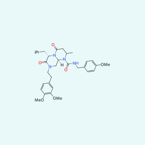 COc1ccc(CNC(=O)N2C(C)CC(=O)N3[C@@H]2CN(CCc2ccc(OC)c(OC)c2)C(=O)[C@@H]3CC(C)C)cc1